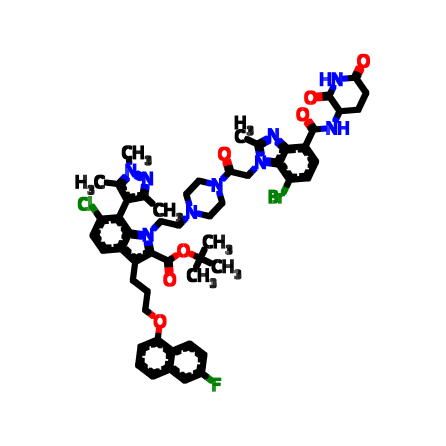 Cc1nn(C)c(C)c1-c1c(Cl)ccc2c(CCCOc3cccc4cc(F)ccc34)c(C(=O)OC(C)(C)C)n(CCN3CCN(C(=O)Cn4c(C)nc5c(C(=O)NC6CCC(=O)NC6=O)ccc(Br)c54)CC3)c12